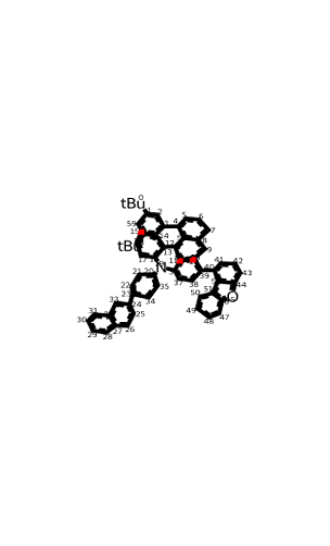 CC(C)(C)c1cc(-c2cccc3cccc(-c4ccccc4N(c4ccc(-c5ccc6ccccc6c5)cc4)c4ccc(-c5cccc6oc7ccccc7c56)cc4)c23)cc(C(C)(C)C)c1